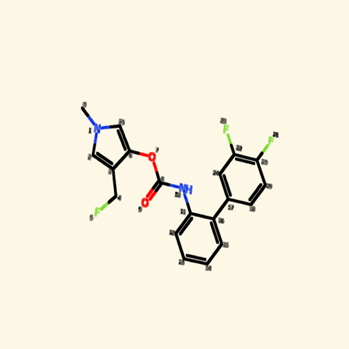 Cn1cc(CF)c(OC(=O)Nc2ccccc2-c2ccc(F)c(F)c2)c1